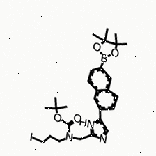 CC(C)(C)OC(=O)N(CCCI)Cc1ncc(-c2ccc3cc(B4OC(C)(C)C(C)(C)O4)ccc3c2)[nH]1